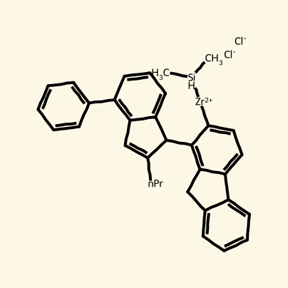 CCCC1=Cc2c(-c3ccccc3)cccc2C1c1[c]([Zr+2][SiH](C)C)ccc2c1Cc1ccccc1-2.[Cl-].[Cl-]